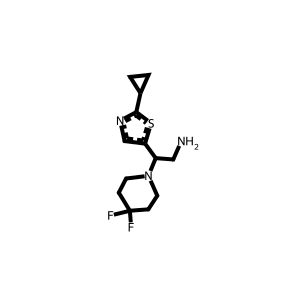 NCC(c1cnc(C2CC2)s1)N1CCC(F)(F)CC1